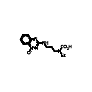 CCN(CCCNc1nc2ccccc2[n+]([O-])n1)C(=O)O